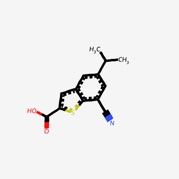 CC(C)c1cc(C#N)c2sc(C(=O)O)cc2c1